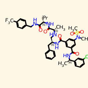 CC(C)[C@H](NC(=O)[C@H](C)NC[C@H](Cc1ccccc1)NC(=O)c1cc(C(=O)N[C@H](C)c2cccc(Cl)c2)cc(N(C)S(C)(=O)=O)c1)C(=O)NCc1ccc(C(F)(F)F)cc1